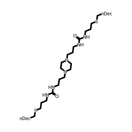 CCCCCCCCCCCSCCCNC(=O)NCCCN1CCN(CCCNC(=O)NCCCSCCCCCCCCCCC)CC1